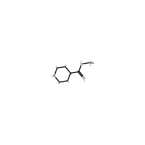 CCC(C)OC(=O)C1CC[N]CC1